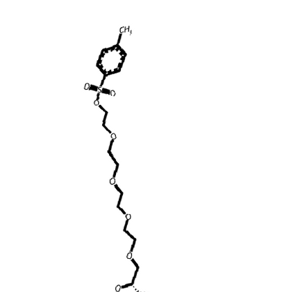 CO[C@@H](O)COCCOCCOCCOCCOS(=O)(=O)c1ccc(C)cc1